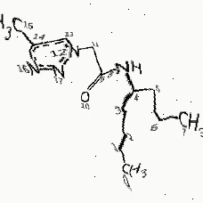 CCCCC(CCC)NC(=O)Cn1cc(C)nn1